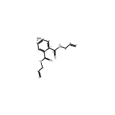 C=CCOC(=O)c1ccccc1C(=O)OCC=C.[SiH4]